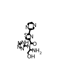 NC(CO)N(C(=O)c1csc(-c2cnccn2)n1)c1nnn[nH]1